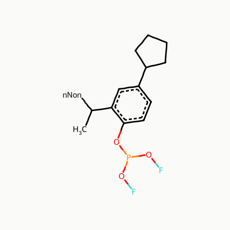 CCCCCCCCCC(C)c1cc(C2CCCC2)ccc1OP(OF)OF